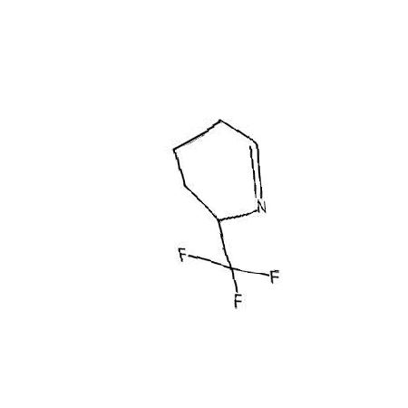 FC(F)(F)C1CCCC=N1